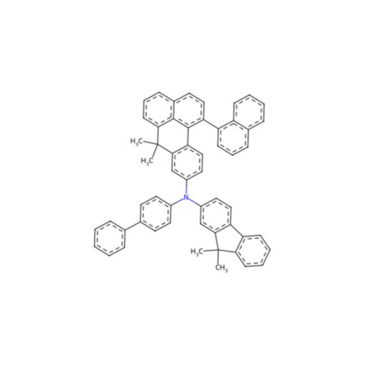 CC1(C)c2ccccc2-c2ccc(N(c3ccc(-c4ccccc4)cc3)c3ccc4c(c3)C(C)(C)c3cccc5ccc(-c6cccc7ccccc67)c-4c35)cc21